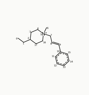 CCC1CC[N+](C)(C/C=C/c2ccccc2)CC1